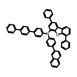 c1ccc(-c2ccc(-c3ccc(N(c4ccc(-c5ccc6ccccc6c5)cc4)c4cc(-c5ccccc5)cc5c4oc4c(-c6ccccc6)cccc45)cc3)cc2)cc1